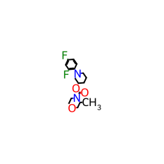 CC1COCCN1C(=O)OC1CCCN(c2ccc(F)cc2F)C1